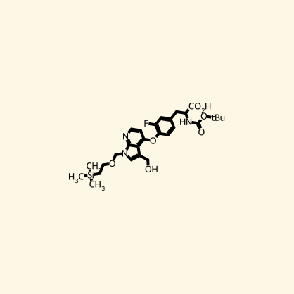 CC(C)(C)OC(=O)NC(Cc1ccc(Oc2ccnc3c2c(CO)cn3COCC[Si](C)(C)C)c(F)c1)C(=O)O